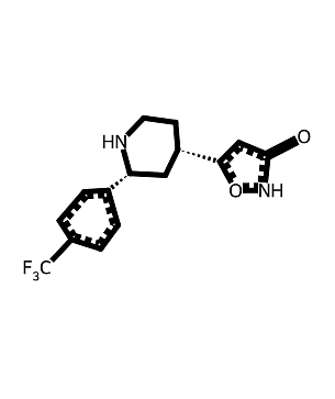 O=c1cc([C@H]2CCN[C@@H](c3ccc(C(F)(F)F)cc3)C2)o[nH]1